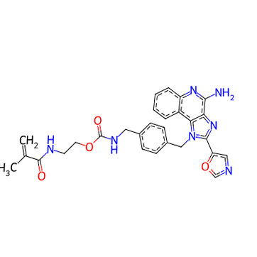 C=C(C)C(=O)NCCOC(=O)NCc1ccc(Cn2c(-c3cnco3)nc3c(N)nc4ccccc4c32)cc1